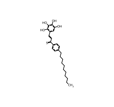 CCCCCCCCCCCc1ccc(C(=S)C=Cc2cc(O)c(O)c(O)c2O)cc1